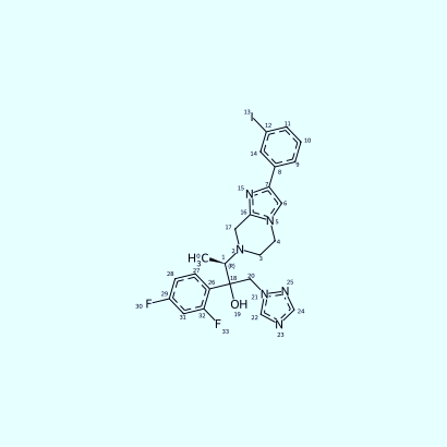 C[C@@H](N1CCn2cc(-c3cccc(I)c3)nc2C1)C(O)(Cn1cncn1)c1ccc(F)cc1F